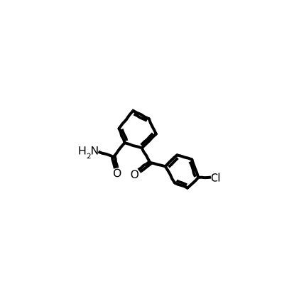 NC(=O)c1ccccc1C(=O)c1ccc(Cl)cc1